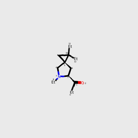 CCC(=O)[C@@H]1C[C@@]2(CN1CC)CC2(CC)CC